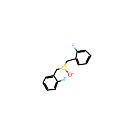 [O-][S+](Cc1ccccc1F)Cc1ccccc1F